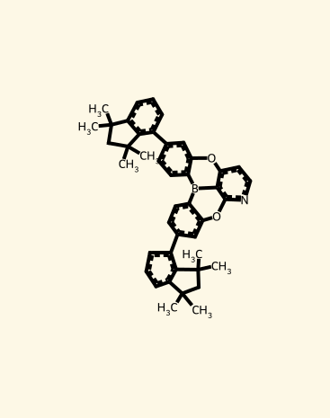 CC1(C)CC(C)(C)c2c(-c3ccc4c(c3)Oc3ccnc5c3B4c3ccc(-c4cccc6c4C(C)(C)CC6(C)C)cc3O5)cccc21